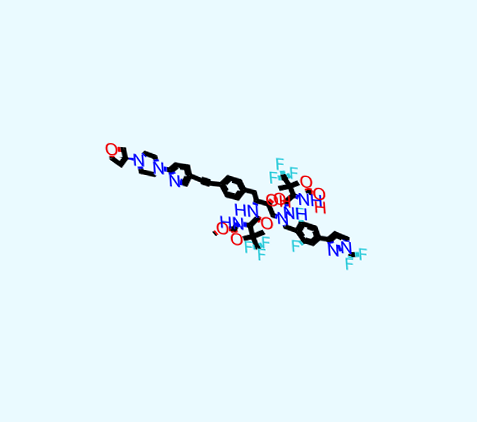 COC(=O)NC(C(=O)NC(Cc1ccc(C#Cc2ccc(N3CCN([C@H]4CCOC4)CC3)nc2)cc1)C(O)CN(Cc1c(F)cc(-c2ccn(C(F)F)n2)cc1F)NC(=O)C(NC(=O)O)C(C)(C)C(F)(F)F)C(C)(C)C(F)(F)F